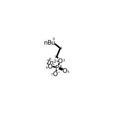 CCCCCCOP(=O)([O-])[O-].[Zn+2]